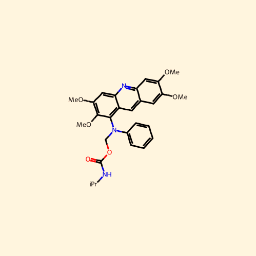 COc1cc2cc3c(N(COC(=O)NC(C)C)c4ccccc4)c(OC)c(OC)cc3nc2cc1OC